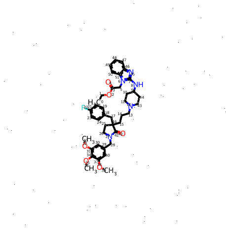 CCOC(=O)Cn1c(NC2CCN(CCCC3(Cc4ccc(F)cc4)CCN(Cc4cc(OC)c(OC)c(OC)c4)C3=O)CC2)nc2ccccc21